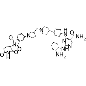 NC(=O)c1cnc(N[C@H]2CCCC[C@H]2N)nc1Nc1ccc(C2CCN(CC3CCN(c4ccc5c(c4)C(=O)N(C4CCC(=O)NC4=O)C5=O)C3)CC2)cc1